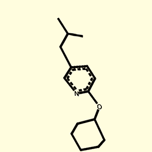 CC(C)Cc1ccc(OC2CCCCC2)nc1